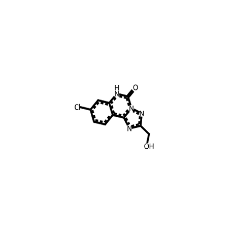 O=c1[nH]c2cc(Cl)ccc2c2nc(CO)nn12